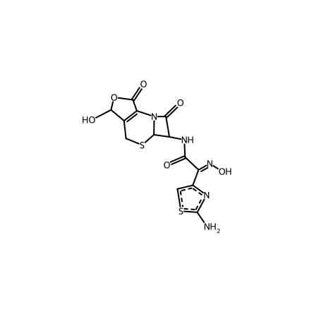 Nc1nc(C(=NO)C(=O)NC2C(=O)N3C4=C(CSC23)C(O)OC4=O)cs1